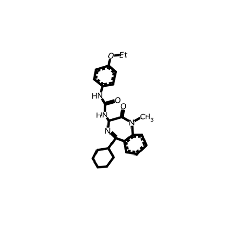 CCOc1ccc(NC(=O)NC2N=C(C3CCCCC3)c3ccccc3N(C)C2=O)cc1